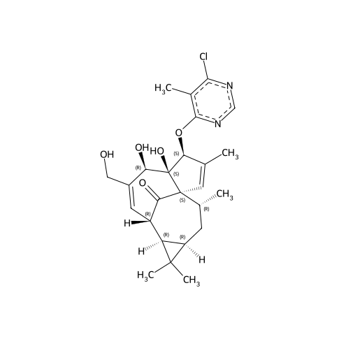 CC1=C[C@]23C(=O)[C@@H](C=C(CO)[C@@H](O)[C@]2(O)[C@H]1Oc1ncnc(Cl)c1C)[C@H]1[C@@H](C[C@H]3C)C1(C)C